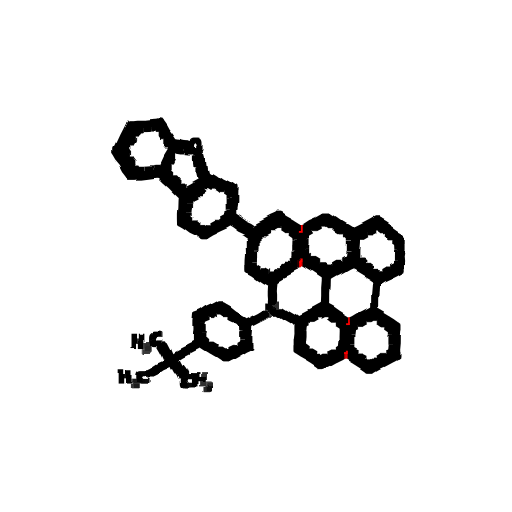 CC(C)(C)c1ccc(N(c2cccc(-c3ccc4c(c3)oc3ccccc34)c2)c2ccccc2-c2cccc3cccc(-c4ccccc4)c23)cc1